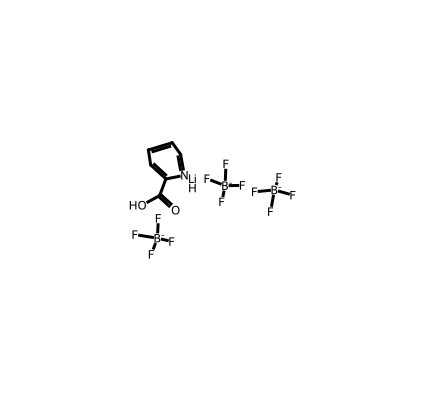 F[B-](F)(F)F.F[B-](F)(F)F.F[B-](F)(F)F.O=C(O)c1ccccn1.[LiH]